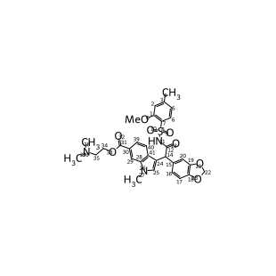 COc1cc(C)ccc1S(=O)(=O)NC(=O)C(c1ccc2c(c1)OCO2)c1cn(C)c2cc(C(=O)OCCN(C)C)ccc12